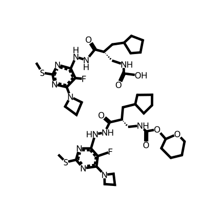 CSc1nc(NNC(=O)[C@@H](CNC(=O)O)CC2CCCC2)c(F)c(N2CCC2)n1.CSc1nc(NNC(=O)[C@@H](CNC(=O)OC2CCCCO2)CC2CCCC2)c(F)c(N2CCC2)n1